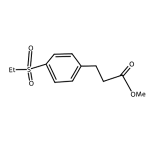 CCS(=O)(=O)c1ccc(CCC(=O)OC)cc1